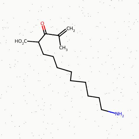 C=C(C)C(=O)C(CCCCCCCCCN)C(=O)O